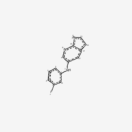 Fc1cccc(Nc2cnc3[nH]ccc3c2)c1